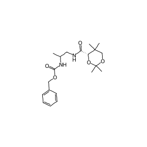 CC(CNC(=O)[C@H]1OC(C)(C)OCC1(C)C)NC(=O)OCc1ccccc1